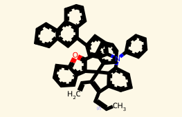 C=CC1=C(/C=C\C)c2cccc(N(c3ccccc3)c3ccc(-c4cc5ccccc5c5ccccc45)cc3)c2C12c1ccccc1-c1oc3ccccc3c12